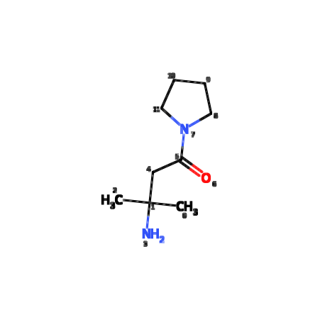 CC(C)(N)CC(=O)N1CCCC1